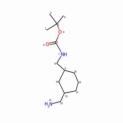 CC(C)(C)OC(=O)NCC1CCCC(CN)C1